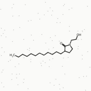 CCCCCCCCCCCCC1CCN(CCO)C1=O